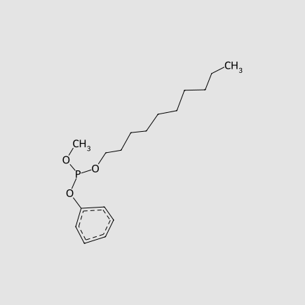 CCCCCCCCCCOP(OC)Oc1ccccc1